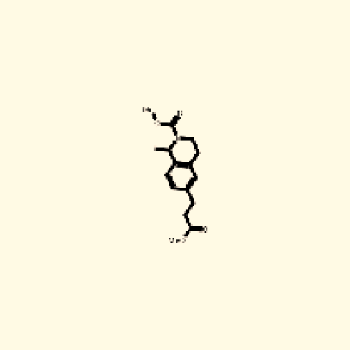 COC(=O)CCc1ccc2c(c1)CCN(C(=O)OC(C)(C)C)C2C